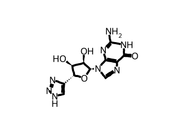 Nc1nc2c(ncn2[C@@H]2O[C@H](c3c[nH]nn3)[C@@H](O)[C@H]2O)c(=O)[nH]1